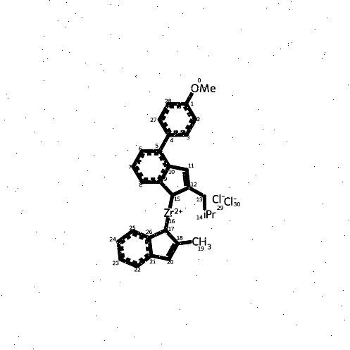 COc1ccc(-c2cccc3c2C=C(CC(C)C)[CH]3[Zr+2][CH]2C(C)=Cc3ccccc32)cc1.[Cl-].[Cl-]